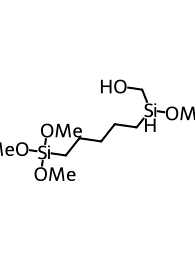 CO[SiH](CO)CCCCC[Si](OC)(OC)OC